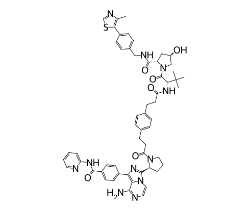 Cc1ncsc1-c1ccc(CNC(=O)[C@@H]2C[C@@H](O)CN2C(=O)[C@@H](NC(=O)CCc2ccc(CCC(=O)N3CCC[C@H]3c3nc(-c4ccc(C(=O)Nc5ccccn5)cc4)c4c(N)nccn34)cc2)C(C)(C)C)cc1